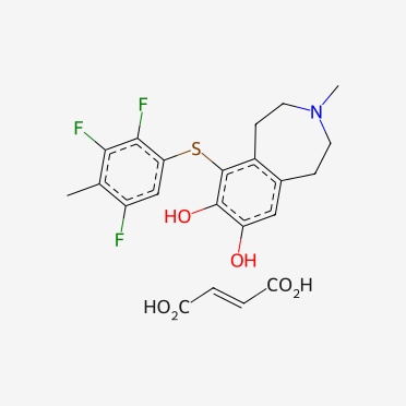 Cc1c(F)cc(Sc2c(O)c(O)cc3c2CCN(C)CC3)c(F)c1F.O=C(O)C=CC(=O)O